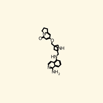 Nc1nccc2c(NCC34CC(COc5cc6n(c(=O)c5)CCC6)(CN3)C4)cccc12